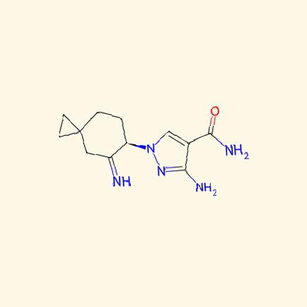 N=C1CC2(CC[C@H]1n1cc(C(N)=O)c(N)n1)CC2